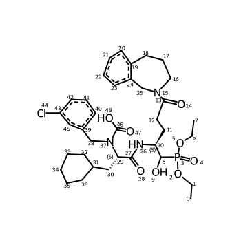 CCOP(=O)(OCC)C(O)[C@H](CCC(=O)N1CCCc2ccccc2C1)NC(=O)[C@H](CC1CCCCC1)N(Cc1cccc(Cl)c1)C(=O)O